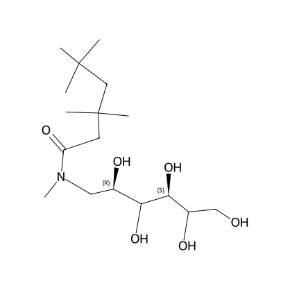 CN(C[C@@H](O)C(O)[C@@H](O)C(O)CO)C(=O)CC(C)(C)CC(C)(C)C